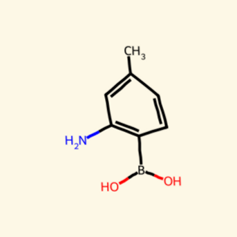 Cc1ccc(B(O)O)c(N)c1